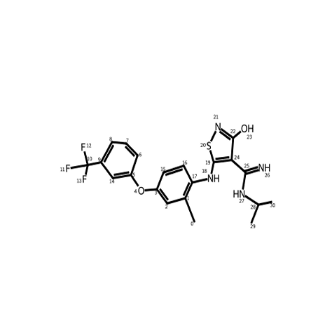 Cc1cc(Oc2cccc(C(F)(F)F)c2)ccc1Nc1snc(O)c1C(=N)NC(C)C